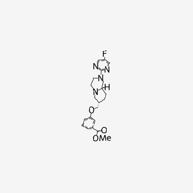 COC(=O)c1cccc(OC[C@H]2CC[C@H]3CN(c4ncc(F)cn4)CCN3C2)c1